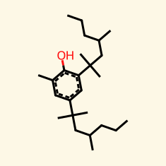 CCCC(C)CC(C)(C)c1cc(C)c(O)c(C(C)(C)CC(C)CCC)c1